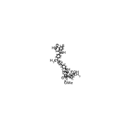 COCCn1c(=O)c2cnc(Nc3ccc(N4CCN(C(C)c5ccc(-c6[nH]c7cc(F)cc8c7c6CCNC8=O)cc5)CC4)cc3)nc2n1-c1cccc(C(C)(C)O)n1